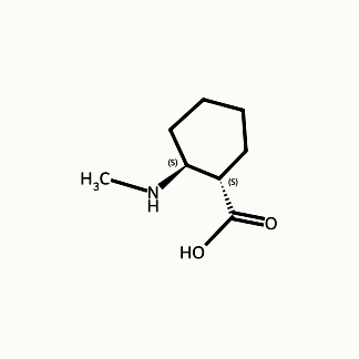 CN[C@H]1CCCC[C@@H]1C(=O)O